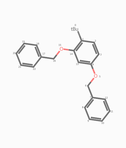 [CH2]C(C)(C)c1ccc(OCc2ccccc2)cc1OCc1ccccc1